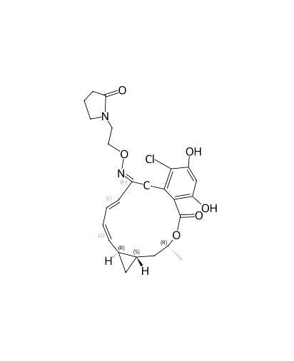 C[C@@H]1C[C@@H]2C[C@H]2\C=C/C=C/C(=N/OCCN2CCCC2=O)Cc2c(Cl)c(O)cc(O)c2C(=O)O1